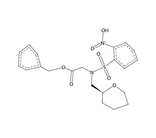 O=C(CN(C[C@@H]1CCCCO1)S(=O)(=O)c1ccccc1[N+](=O)O)OCc1ccccc1